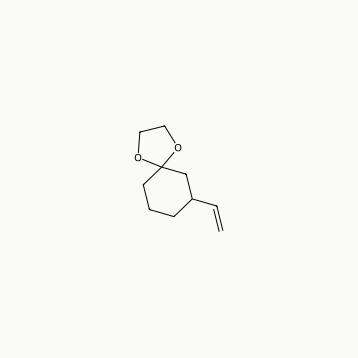 C=CC1CCCC2(C1)OCCO2